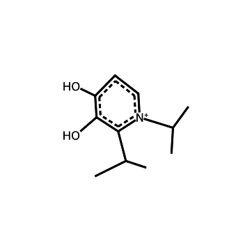 CC(C)c1c(O)c(O)cc[n+]1C(C)C